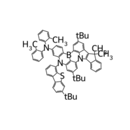 Cc1ccccc1N(c1ccc2c(c1)N(c1cccc3c1sc1cc(C(C)(C)C)ccc13)c1cc(C(C)(C)C)cc3c1B2c1cc(C(C)(C)C)cc2c4c(n-3c12)-c1ccccc1C4(C)C)c1ccccc1C